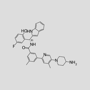 Cc1cc(C(=O)N[C@@H](c2cc3ccccc3[nH]2)c2cc(F)ccc2O)cc(-c2cc(C)c(N3CCC(N)CC3)cn2)c1